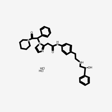 Cl.Cl.O=C(Cc1nccn1C(C(=O)N1CCCCC1)c1ccccc1)Nc1ccc(CCNC[C@H](O)c2ccccc2)cc1